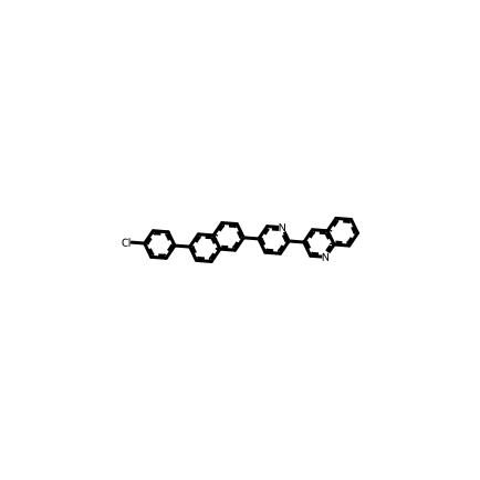 Clc1ccc(-c2ccc3cc(-c4ccc(-c5cnc6ccccc6c5)nc4)ccc3c2)cc1